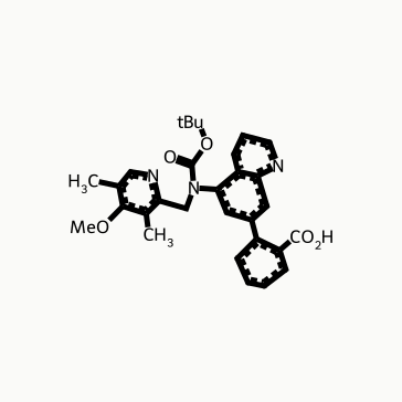 COc1c(C)cnc(CN(C(=O)OC(C)(C)C)c2cc(-c3ccccc3C(=O)O)cc3ncccc23)c1C